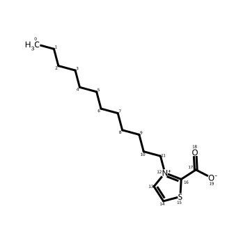 CCCCCCCCCCCC[n+]1ccsc1C(=O)[O-]